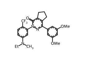 CCN(C)c1ccc(C(F)(F)F)c(-n2nc(-c3cc(OC)cc(OC)c3)c3c(c2=O)CCC3)c1